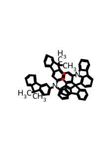 CC1(C)c2ccccc2-c2cc(N(c3ccc4c(c3)-c3ccccc3C4(C)C)c3ccccc3-c3cccc4c3C3(c5ccccc5-c5ccccc53)c3cccc5c6ccccc6n-4c35)ccc21